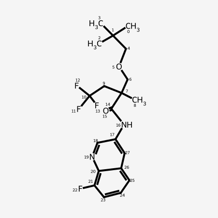 CC(C)(C)COCC(C)(CC(F)(F)F)C(=O)Nc1cnc2c(F)cccc2c1